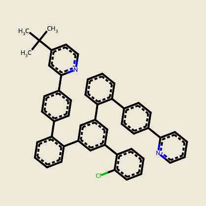 CC(C)(C)c1ccnc(-c2ccc(-c3ccccc3-c3cc(-c4ccccc4Cl)cc(-c4ccccc4-c4ccc(-c5ccccn5)cc4)c3)cc2)c1